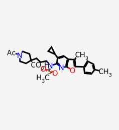 CC(=O)N1CCC(CCCN(c2nc3oc(-c4ccc(C)cc4)c(C)c3cc2C2CC2)S(C)(=O)=O)(C(=O)O)CC1